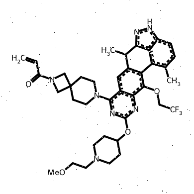 C=CC(=O)N1CC2(CCN(c3nc(OC4CCN(CCOC)CC4)nc4c(OCC(F)(F)F)c5c(cc34)C(C)c3n[nH]c4ccc(C)c-5c34)CC2)C1